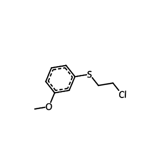 COc1cccc(SCCCl)c1